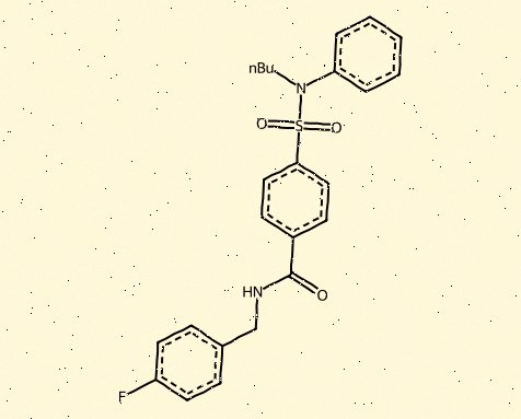 CCCCN(c1ccccc1)S(=O)(=O)c1ccc(C(=O)NCc2ccc(F)cc2)cc1